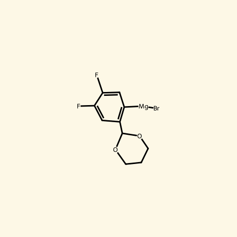 Fc1c[c]([Mg][Br])c(C2OCCCO2)cc1F